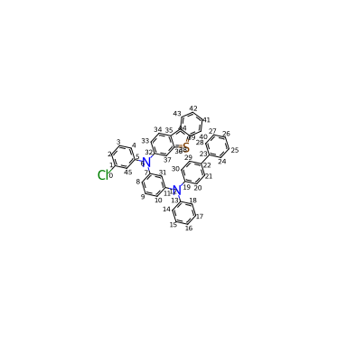 Clc1cccc(N(c2cccc(N(c3ccccc3)c3ccc(-c4ccccc4)cc3)c2)c2ccc3c(c2)sc2ccccc23)c1